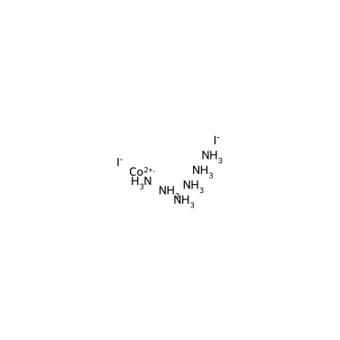 N.N.N.N.N.N.[Co+2].[I-].[I-]